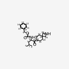 CC(C)CC(NC(=O)OCc1ccccc1)C(=O)N1CCC2(CC1)CNC2